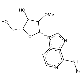 CCNc1ncnc2c1ncn2[C@@H]1O[C@H](CO)C(O)C1OC